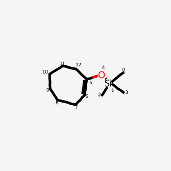 C[Si](C)(C)O/C1=C/CCCCCC1